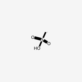 [CH2]S(=O)(=O)O